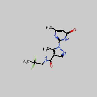 Cc1cc(=O)[nH]c(-n2ncc(C(=O)NCC(F)(F)C(F)(F)F)c2C)n1